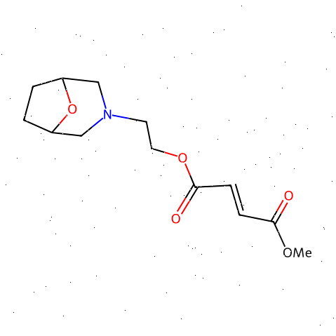 COC(=O)C=CC(=O)OCCN1CC2CCC(C1)O2